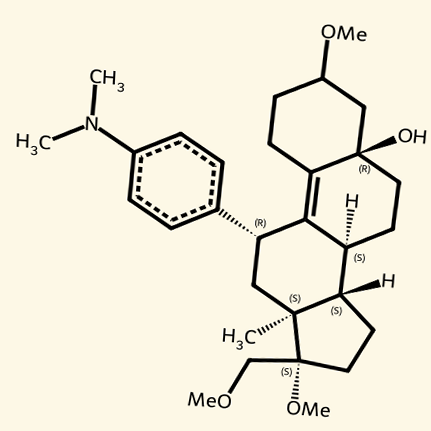 COC[C@]1(OC)CC[C@H]2[C@@H]3CC[C@@]4(O)CC(OC)CCC4=C3[C@@H](c3ccc(N(C)C)cc3)C[C@@]21C